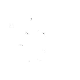 COCCOc1cc2ncnc(Nc3ccc(Cl)c(Cl)c3F)c2cc1OC1[C@@H]2C[C@H]1CN(C(O)C(F)(F)F)C2